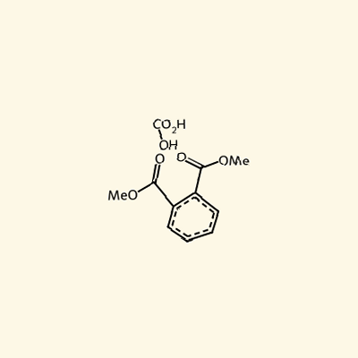 COC(=O)c1ccccc1C(=O)OC.O=C(O)O